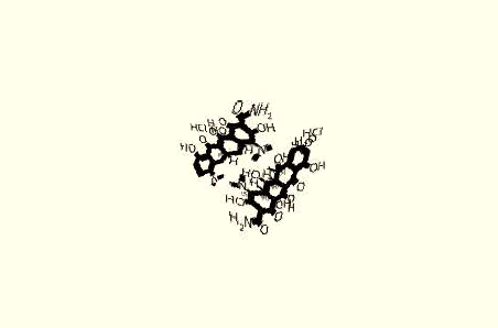 CN(C)[C@@H]1C(O)=C(C(N)=O)C(=O)[C@@]2(O)C(O)=C3C(=O)c4c(O)cccc4[C@@](C)(O)[C@H]3[C@H](O)[C@@H]12.CN(C)c1ccc(O)c2c1C[C@H]1C[C@H]3[C@H](N(C)C)C(O)=C(C(N)=O)C(=O)[C@@]3(O)C(O)=C1C2=O.Cl.Cl.O.O